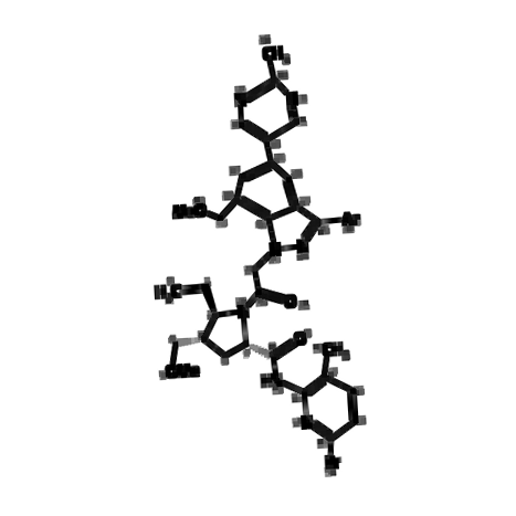 C=C[C@@H]1[C@@H](COC)C[C@@H](C(=O)Nc2nc(Br)ccc2C)N1C(=O)Cn1nc(C(C)=O)c2cc(-c3cnc(C)nc3)cc(COC)c21